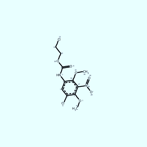 COc1c(Cl)cc(NC(=O)OCCCl)c(OC)c1[N+](=O)[O-]